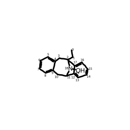 CCC12Cc3ccccc3CC(c3ccccc31)N2O